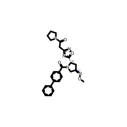 CO/N=C1/C[C@@H](c2nc(CC(=O)N3CCCC3)no2)N(C(=O)c2ccc(-c3ccccc3)cc2)C1